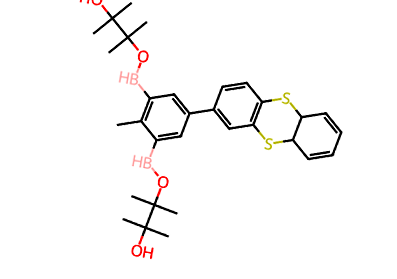 Cc1c(BOC(C)(C)C(C)(C)O)cc(-c2ccc3c(c2)SC2C=CC=CC2S3)cc1BOC(C)(C)C(C)(C)O